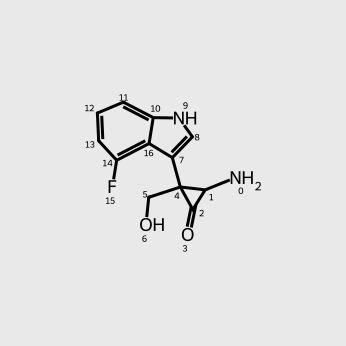 NC1C(=O)C1(CO)c1c[nH]c2cccc(F)c12